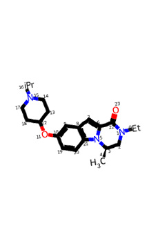 CCN1C[C@@H](C)n2c(cc3cc(OC4CCN(C(C)C)CC4)ccc32)C1=O